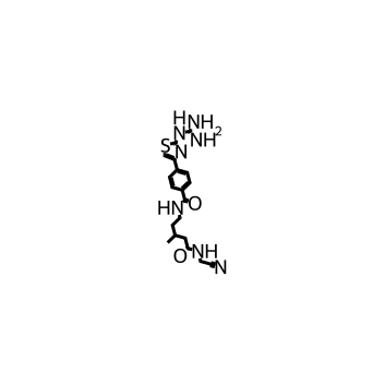 CC(CCNC(=O)c1ccc(-c2csc(NC(=N)N)n2)cc1)CC(=O)NCC#N